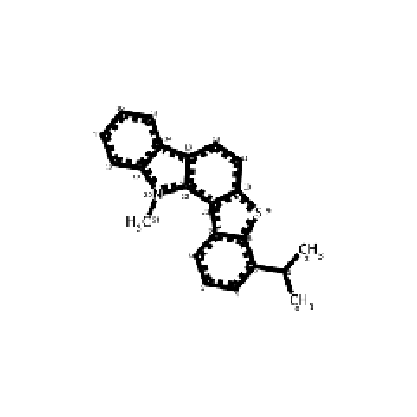 CC(C)c1cccc2c1sc1ccc3c4ccccc4n(C)c3c12